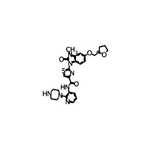 Cn1c(=O)n(-c2nc(C(=O)Nc3cccnc3N3CCNCC3)cs2)c2ccc(OC[C@H]3CCCO3)cc21